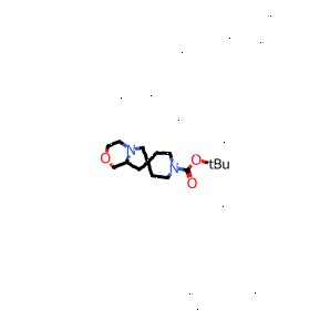 CC(C)(C)OC(=O)N1CCC2(CC1)CC1COCCN1C2